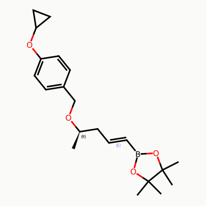 C[C@H](C/C=C/B1OC(C)(C)C(C)(C)O1)OCc1ccc(OC2CC2)cc1